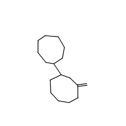 C=C1CCCCCC(C2CCCCCCC2)C1